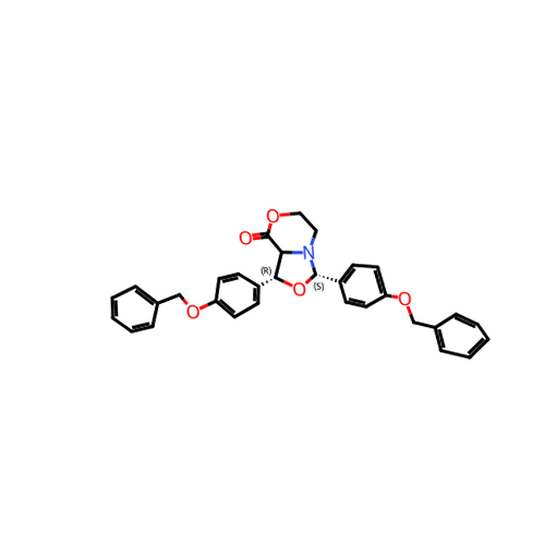 O=C1OCCN2C1[C@@H](c1ccc(OCc3ccccc3)cc1)O[C@H]2c1ccc(OCc2ccccc2)cc1